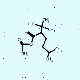 CC(C)CCC(C(=O)OC(N)=O)C(C)(C)C